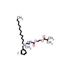 CCCCCCCCCCCC[N+](C)(CCNC(=O)OCCOC(=O)C(C)C)Cc1ccccc1.[I-]